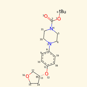 CC(C)(C)OC(=O)N1CCN(c2ccc(O[C@@H]3CCOC3)cc2)CC1